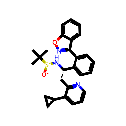 CC(C)(C)[S+]([O-])N[C@@H](Cc1ncccc1C1CC1)c1ccccc1-c1noc2ccccc12